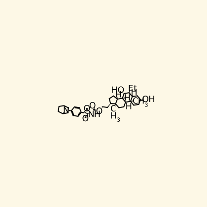 CC[C@H]1[C@@H](O)[C@@H]2[C@H](CC[C@]3(C)[C@@H](CCOC(=O)NS(=O)(=O)c4ccc(N5C6CCC5CC6)cc4)CC[C@@H]23)[C@@]2(C)CC[C@@H](O)C[C@@H]12